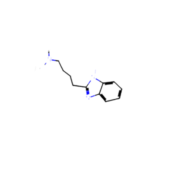 CN(C)CCCCc1nc2ccccc2[nH]1